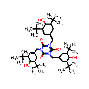 CC(C)(C)C1C=C(Cn2c(=O)n(CC3CC(C(C)(C)C)C(O)C(C(C)(C)C)C3)c(=O)n(CC3CC(C(C)(C)C)C(O)C(C(C)(C)C)C3)c2=O)CC(C(C)(C)C)C1O